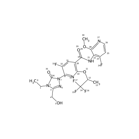 CCn1c(CO)nn(-c2nc(OC(C)C(F)(F)F)c(C(=O)Nc3c(F)ccnc3OC)cc2F)c1=O